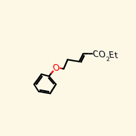 CCOC(=O)C=CCCOc1ccccc1